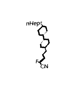 CCCCCCC[C@H]1CC[C@H]([C@H]2CC[C@H](CCC=C(F)C#N)CC2)CC1